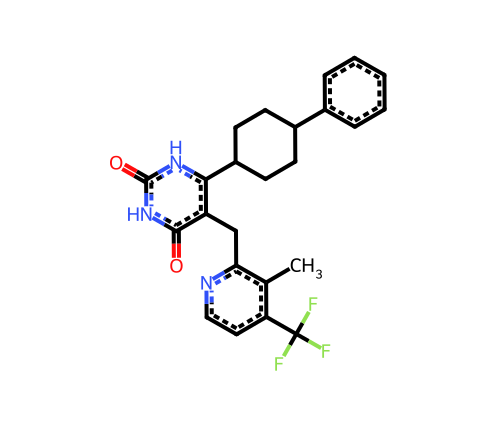 Cc1c(C(F)(F)F)ccnc1Cc1c(C2CCC(c3ccccc3)CC2)[nH]c(=O)[nH]c1=O